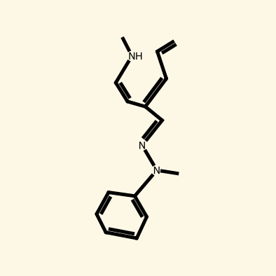 C=C/C=C(\C=C/NC)/C=N/N(C)c1ccccc1